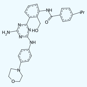 CC(C)c1ccc(C(=O)Nc2cccc(-c3nc(N)nc(Nc4ccc(N5CCOCC5)cc4)n3)c2CO)cc1